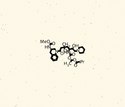 COC(=O)NC1Cc2ccccc2N(C(=O)CC(C)(C)CC(NC(=O)OC(C)OC(=O)C(C)C)[C@@H](O)CN2CCCCC2)C1